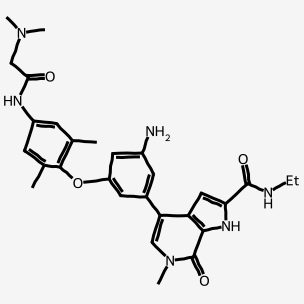 CCNC(=O)c1cc2c(-c3cc(N)cc(Oc4c(C)cc(NC(=O)CN(C)C)cc4C)c3)cn(C)c(=O)c2[nH]1